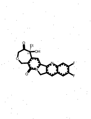 CC[C@@]1(O)C(=O)COCc2c1cc1n(c2=O)Cc2cc3cc(F)c(F)cc3nc2-1